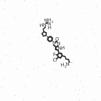 C[C@H](N)CCCc1cc(Cl)c(F)c(-c2cc3cn(-c4ccc([C@H]5CCC(CCNC(=N)N)C5)cc4)c(=O)nc3[nH]2)c1